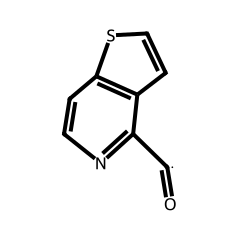 O=[C]c1nccc2sccc12